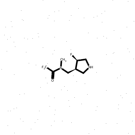 CN(C[C@@H]1CNC[C@@H]1F)C(=O)C(F)(F)F